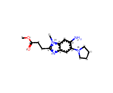 COC(=O)CCc1nc2cc(N3CCCC3)c(N)cc2n1C